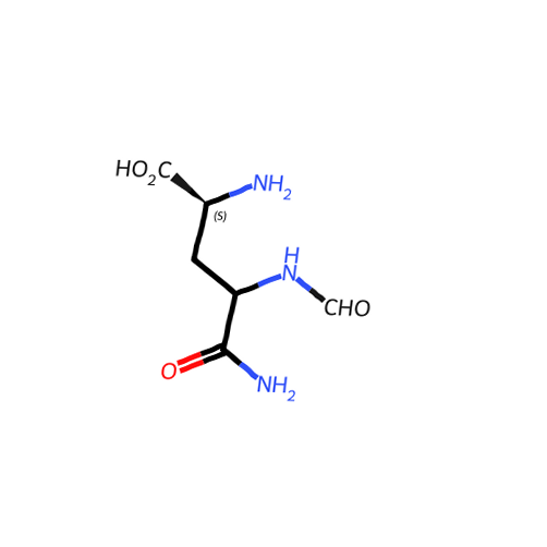 NC(=O)C(C[C@H](N)C(=O)O)NC=O